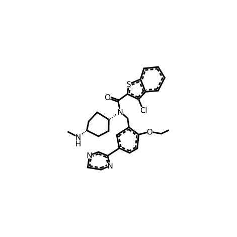 CCOc1ccc(-c2cnccn2)cc1CN(C(=O)c1sc2ccccc2c1Cl)[C@H]1CC[C@@H](NC)CC1